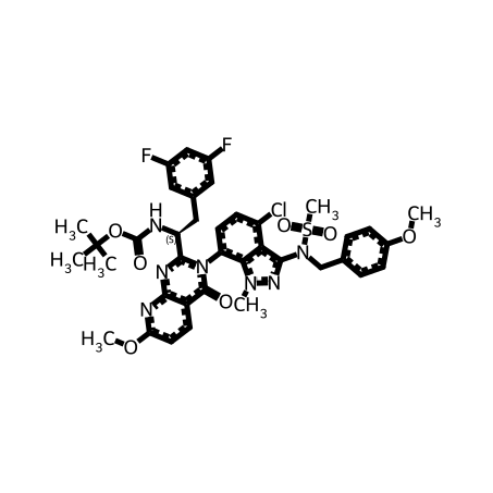 COc1ccc(CN(c2nn(C)c3c(-n4c([C@H](Cc5cc(F)cc(F)c5)NC(=O)OC(C)(C)C)nc5nc(OC)ccc5c4=O)ccc(Cl)c23)S(C)(=O)=O)cc1